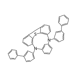 c1ccc(-c2cccc(N3c4cccc(c4)N(c4cccc(-c5ccccc5)c4)c4cccc5c4sc4c3cccc45)c2)cc1